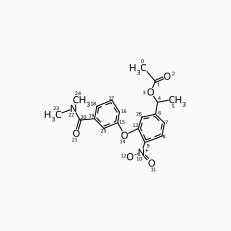 CC(=O)OC(C)c1ccc([N+](=O)[O-])c(Oc2cccc(C(=O)N(C)C)c2)c1